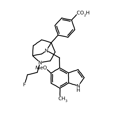 COc1cc(C)c2[nH]ccc2c1CN1CC2CCC1(c1ccc(C(=O)O)cc1)CCN2CCF